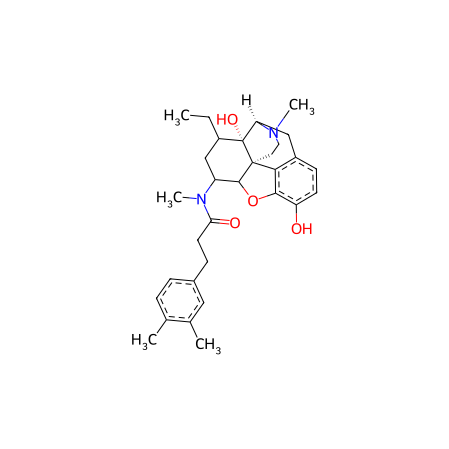 CCC1CC(N(C)C(=O)CCc2ccc(C)c(C)c2)C2Oc3c(O)ccc4c3[C@@]23CCN(C)[C@H](C4)[C@]13O